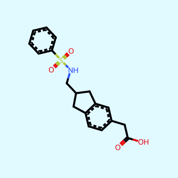 O=C(O)Cc1ccc2c(c1)CC(CNS(=O)(=O)c1ccccc1)C2